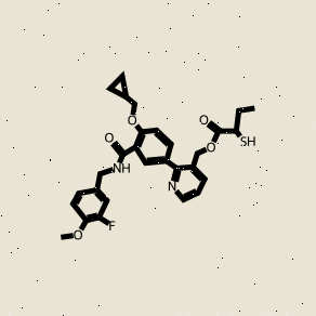 CCC(S)C(=O)OCc1cccnc1-c1ccc(OCC2CC2)c(C(=O)NCc2ccc(OC)c(F)c2)c1